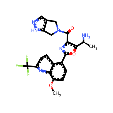 COc1ccc(-c2nc(C(=O)N3Cc4cn[nH]c4C3)c([C@H](C)N)o2)c2ccc(C(F)(F)F)nc12